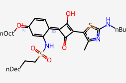 CCCCCCCCCCCCS(=O)(=O)NC1=CC(=[O+]\CCCCCCCC)/C=CC/1=C1/C(=O)C(c2sc(NCCCC)nc2C)=C1O